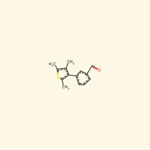 Cc1sc(C)c(-c2cccc(C=O)c2)c1C